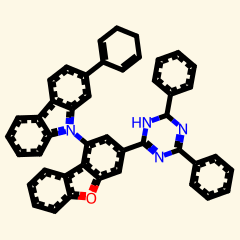 C1=CC(c2ccc3c4ccccc4n(-c4cc(C5=NC(c6ccccc6)=NC(c6ccccc6)N5)cc5oc6ccccc6c45)c3c2)=CCC1